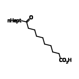 CCCCCCCC(=O)CCCCCCCCC(=O)O